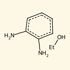 CCO.Nc1ccccc1N